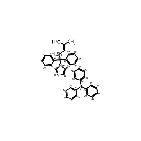 CC(C)=C[SiH2]C(c1ccccc1)(c1ccccc1)n1ccnc1.c1ccc(B(c2ccccc2)c2ccccc2)cc1